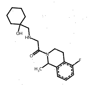 CC1c2cccc(F)c2CCN1C(=O)CNCC1(O)CCCCC1